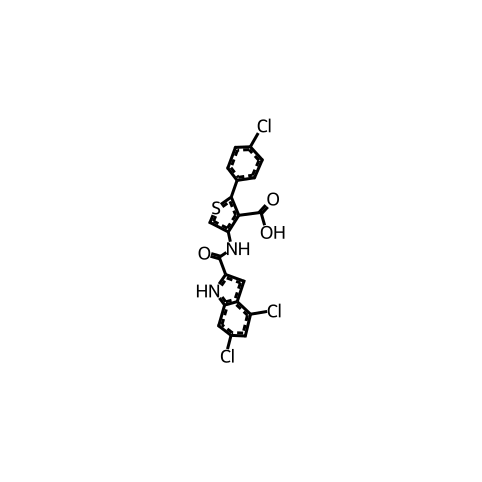 O=C(Nc1csc(-c2ccc(Cl)cc2)c1C(=O)O)c1cc2c(Cl)cc(Cl)cc2[nH]1